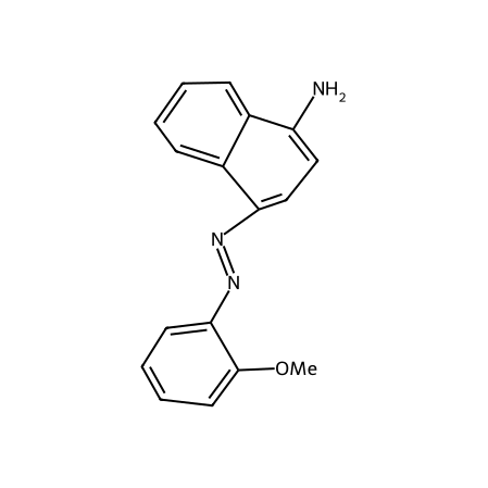 COc1ccccc1N=Nc1ccc(N)c2ccccc12